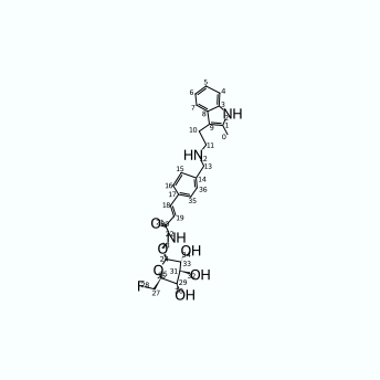 Cc1[nH]c2ccccc2c1CCNCc1ccc(/C=C/C(=O)NO[C@@H]2O[C@H](CF)[C@H](O)[C@H](O)[C@H]2O)cc1